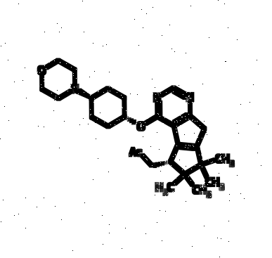 CC(=O)C[C@@H]1C2=C(Cc3ncnc(O[C@H]4CC[C@H](N5CCOCC5)CC4)c32)C(C)(C)C1(C)C